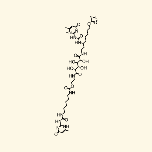 Cc1cc(=O)nc(NC(=O)NCCCCCCNC(=O)OCCNC(=O)C(O)C(O)C(O)C(O)C(=O)NCCC(CCCCCOC(N)=O)NC(=O)Nc2nc(=O)cc(C)[nH]2)[nH]1